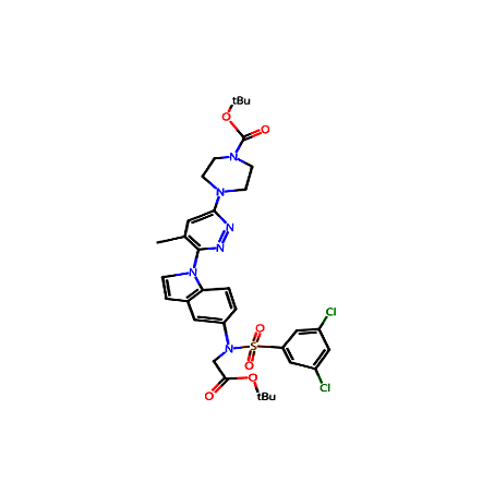 Cc1cc(N2CCN(C(=O)OC(C)(C)C)CC2)nnc1-n1ccc2cc(N(CC(=O)OC(C)(C)C)S(=O)(=O)c3cc(Cl)cc(Cl)c3)ccc21